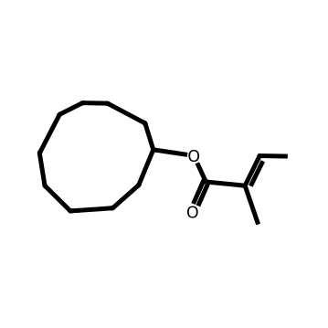 CC=C(C)C(=O)OC1CCCCCCCCC1